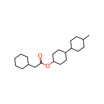 CC1CCC(C2CCC(OC(=O)CC3CCCCC3)CC2)CC1